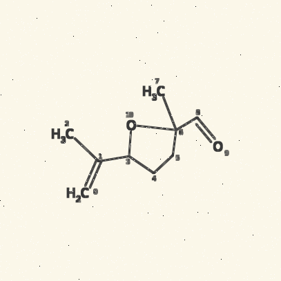 C=C(C)C1CCC(C)(C=O)O1